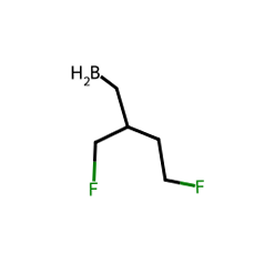 BCC(CF)CCF